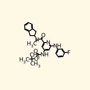 CN(C(=O)c1cc(NC(=O)OC(C)(C)C)cc(Nc2cccc(F)c2)n1)C1Cc2ccccc2C1